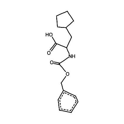 O=C(NC(CC1CCCC1)C(=O)O)OCc1ccccc1